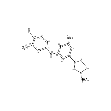 CCCCc1cc(N2CCC(NC(C)=O)C2)nc(Nc2ccc(F)c([N+](=O)[O-])c2)n1